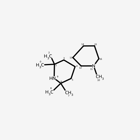 CC1(C)CCCC(C)(C)N1.CN1CCCCC1